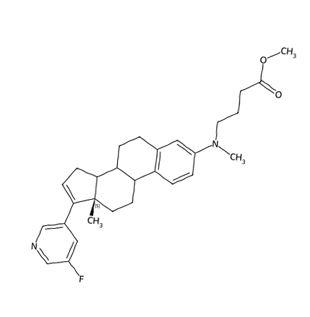 COC(=O)CCCN(C)c1ccc2c(c1)CCC1C2CC[C@]2(C)C(c3cncc(F)c3)=CCC12